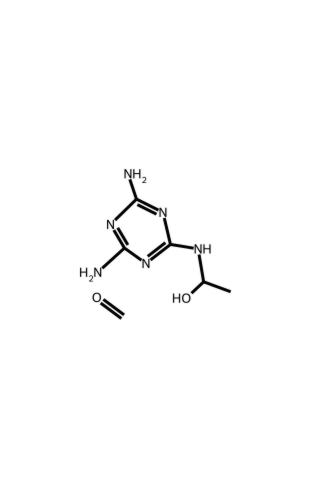 C=O.CC(O)Nc1nc(N)nc(N)n1